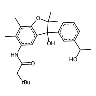 Cc1c(NC(=O)CC(C)(C)C)cc2c(c1C)OC(C)(C)C2(O)c1cccc(C(C)O)c1